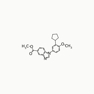 COC(=O)c1ccc2c(c1)ncn2-c1ccc(OC)c(C2CCCC2)c1